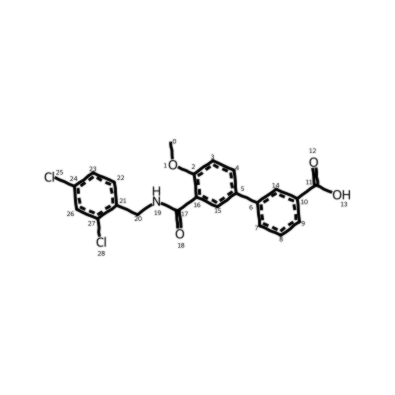 COc1ccc(-c2cccc(C(=O)O)c2)cc1C(=O)NCc1ccc(Cl)cc1Cl